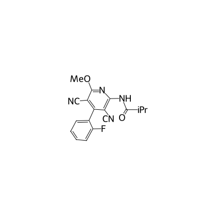 COc1nc(NC(=O)C(C)C)c(C#N)c(-c2ccccc2F)c1C#N